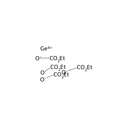 CCOC(=O)[O-].CCOC(=O)[O-].CCOC(=O)[O-].CCOC(=O)[O-].[Ge+4]